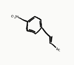 CC(=O)C=Cc1ccc([N+](=O)[O-])cc1